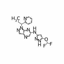 CCC(c1ccccn1)n1ncc2ncc(Nc3cc(OC(F)F)[nH]n3)nc21